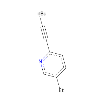 CCCCC#Cc1ccc(CC)cn1